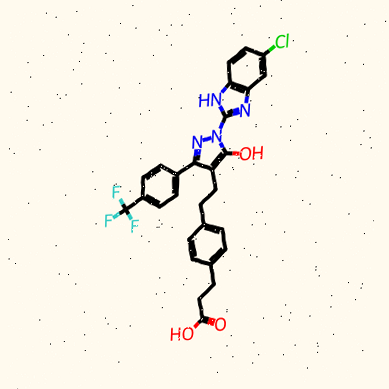 O=C(O)CCc1ccc(CCc2c(-c3ccc(C(F)(F)F)cc3)nn(-c3nc4cc(Cl)ccc4[nH]3)c2O)cc1